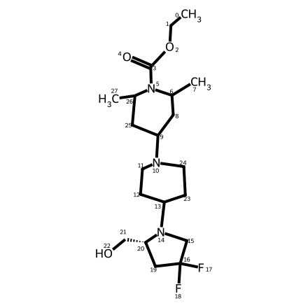 CCOC(=O)N1C(C)CC(N2CCC(N3CC(F)(F)C[C@@H]3CO)CC2)CC1C